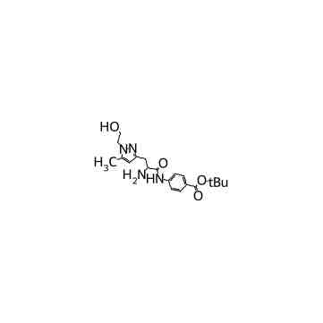 Cc1cc(CC(N)C(=O)Nc2ccc(C(=O)OC(C)(C)C)cc2)nn1CCO